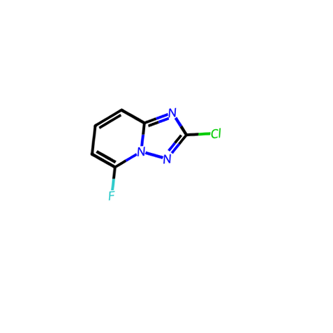 Fc1cccc2nc(Cl)nn12